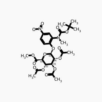 COC(=O)[C@H]1O[C@@H](Oc2ccc([N+](=O)[O-])cc2N(C)C(=O)OC(C)(C)C)[C@H](OC(C)=O)[C@@H](OC(C)=O)[C@@H]1OC(C)=O